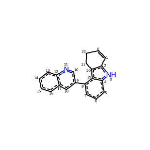 C1=Cc2[nH]c3cccc(-c4cnc5ccccc5c4)c3c2CC1